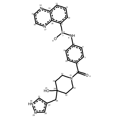 O=C(c1ccc(N[S+]([O-])c2cccc3nccnc23)cc1)N1CCC(O)(Cc2cn[nH]c2)CC1